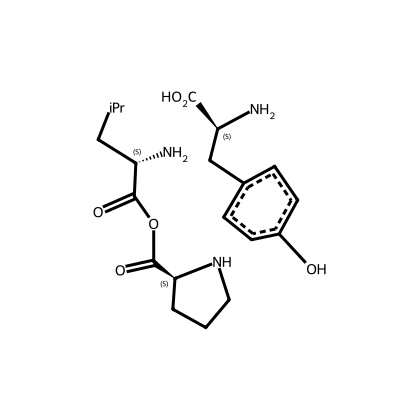 CC(C)C[C@H](N)C(=O)OC(=O)[C@@H]1CCCN1.N[C@@H](Cc1ccc(O)cc1)C(=O)O